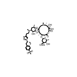 CC[C@H]1OC(=O)[C@H](C)[C@@H](O[C@H]2C[C@@](C)(OC)[C@@H](O)[C@H](C)O2)[C@H](C)[C@@H](O[C@@H]2O[C@H](C)C[C@H](N(C)CCc3cn([C@H](CF)Cc4ccc(S(C)(=O)=O)cc4)nn3)[C@H]2O)[C@](C)(O)CCN(C)[C@H](C)[C@@H](O)[C@]1(C)O